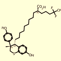 C[C@]1(c2ccc(O)cc2)CSc2cc(O)ccc2[C@H]1CCCCCCCCC[C@H](CCCC(F)(F)C(F)(F)F)C(=O)O